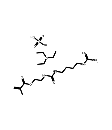 C=C(C)C(=O)OCCNC(=O)NCCCCNC(=N)N.CCN(CC)CC.O=S(=O)(O)O